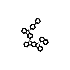 c1ccc(-c2ccc(-n3c4ccccc4c4cc(-n5c6ccccc6c6cc7c8ccccc8n(-c8cccc9ccccc89)c7cc65)ccc43)cc2)cc1